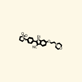 CCn1c(-c2ccc(N3CCCS3(=O)=O)cc2)c(C#N)c2ccc(OCCN3CCOCC3)cc21